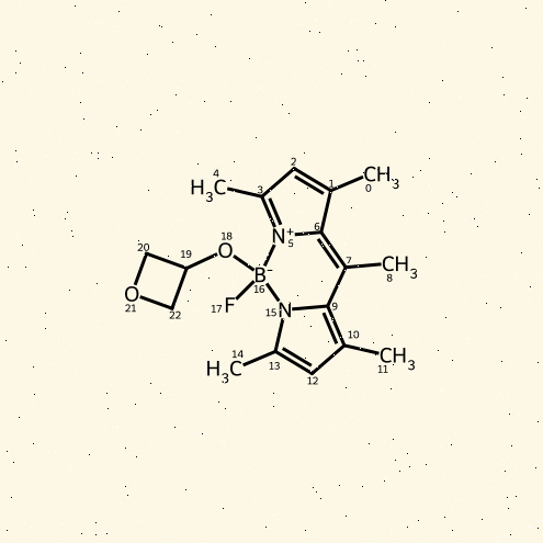 CC1=CC(C)=[N+]2C1=C(C)c1c(C)cc(C)n1[B-]2(F)OC1COC1